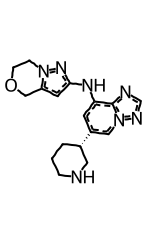 c1nc2c(Nc3cc4n(n3)CCOC4)cc([C@H]3CCCNC3)cn2n1